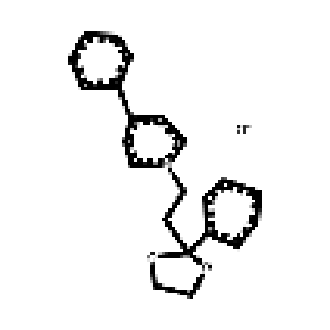 [Cl-].c1ccc(-c2cc[n+](CCC3(c4ccccc4)OCCO3)cc2)cc1